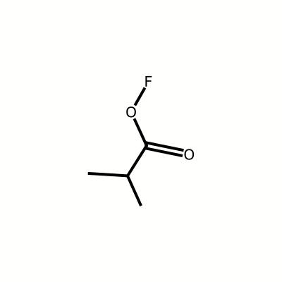 CC(C)C(=O)OF